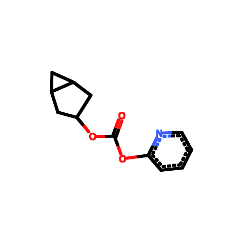 O=C(Oc1ccccn1)OC1CC2CC2C1